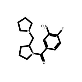 O=C(c1ccc(F)c([N+](=O)[O-])c1)N1CCCC1CN1CCCC1